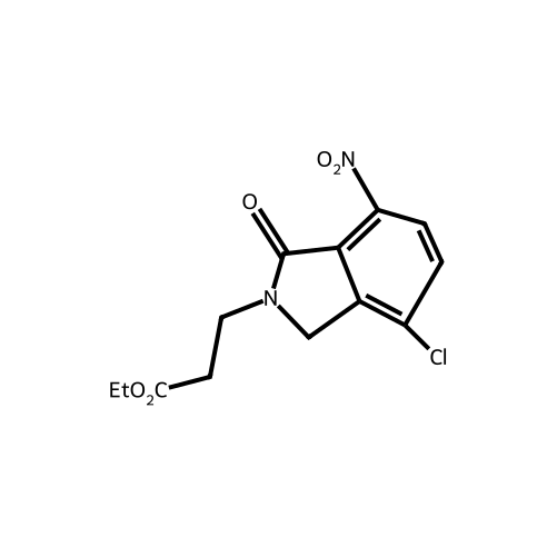 CCOC(=O)CCN1Cc2c(Cl)ccc([N+](=O)[O-])c2C1=O